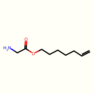 C=CCCCCCOC(=O)CN